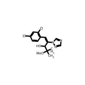 COC(C)(C)C(O)/C(=C\c1ccc(Cl)cc1Cl)n1cncn1